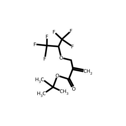 C=C(COC(C(F)(F)F)C(F)(F)F)C(=O)OC(C)(C)C